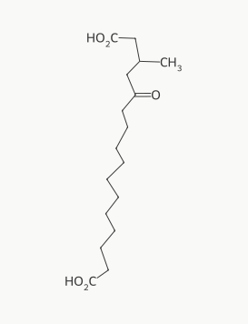 CC(CC(=O)O)CC(=O)CCCCCCCCCCC(=O)O